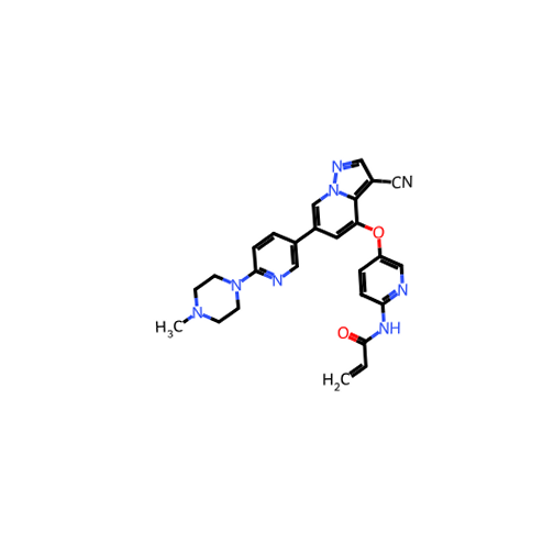 C=CC(=O)Nc1ccc(Oc2cc(-c3ccc(N4CCN(C)CC4)nc3)cn3ncc(C#N)c23)cn1